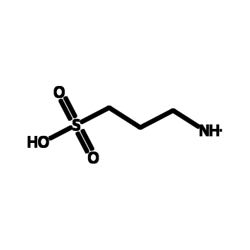 [NH]CCCS(=O)(=O)O